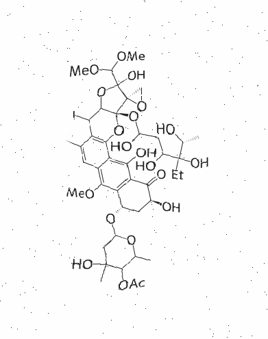 CCC(O)(C(O)CC(O)O[C@@]12Oc3c(c(C)cc4c(OC)c5c(c(O)c34)C(=O)[C@@H](O)C[C@@H]5OC3CC(C)(O)C(OC(C)=O)C(C)O3)C(I)C1OC(O)(C(OC)OC)[C@]21CO1)[C@@H](C)O